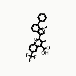 Cc1c(-c2cn(C)c3c(-c4ccccc4)cccc23)nc2ccc(C(F)(F)F)cc2c1C(=O)O